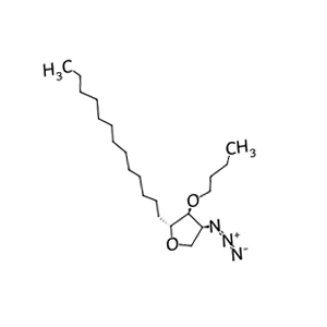 CCCCCCCCCCCCC[C@H]1OC[C@H](N=[N+]=[N-])[C@@H]1OCCCC